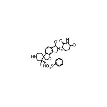 O=C1CC[C@H](N2Cc3c(ccc4c3OCC43CCNCC3(F)F)C2=O)C(=O)N1.O=S(=O)(O)c1ccccc1